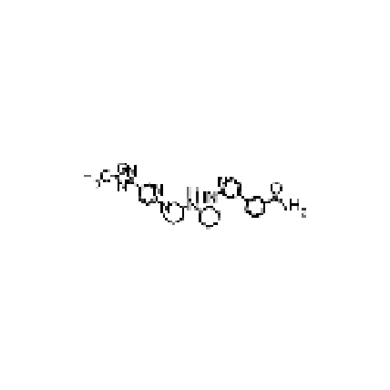 Cc1nc(-c2ccc(N3CCC[C@H](N[C@@H]4CCCC[C@H]4Nc4cc(-c5cccc(C(N)=O)c5)ccn4)C3)nc2)no1